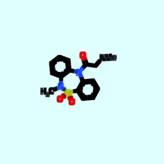 CNCC(=O)N1c2ccccc2N(C)S(=O)(=O)c2ccccc21